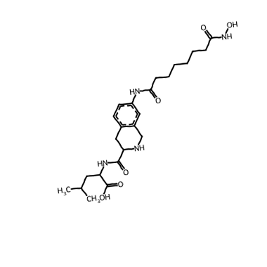 CC(C)CC(NC(=O)C1Cc2ccc(NC(=O)CCCCCCC(=O)NO)cc2CN1)C(=O)O